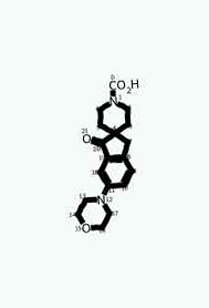 O=C(O)N1CCC2(CC1)Cc1ccc(N3CCOCC3)cc1C2=O